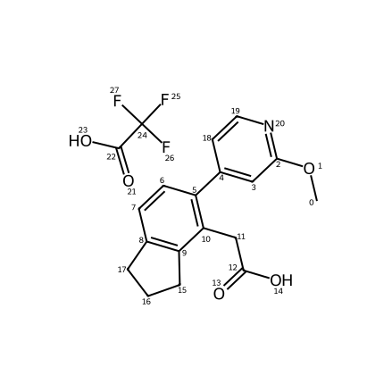 COc1cc(-c2ccc3c(c2CC(=O)O)CCC3)ccn1.O=C(O)C(F)(F)F